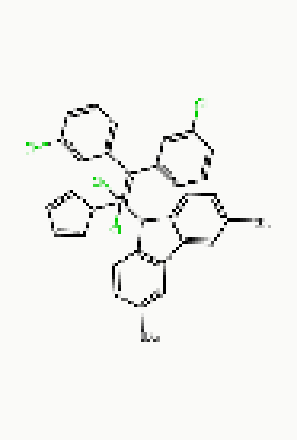 CC(C)(C)c1ccc2c(c1)-c1cc(C(C)(C)C)ccc1[CH]2[Zr]([Cl])([Cl])(=[C](c1cccc(Cl)c1)c1cccc(Cl)c1)[CH]1C=CC=C1